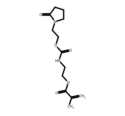 C=C(C)C(=O)OCCNC(=O)OCCN1CCCC1=O